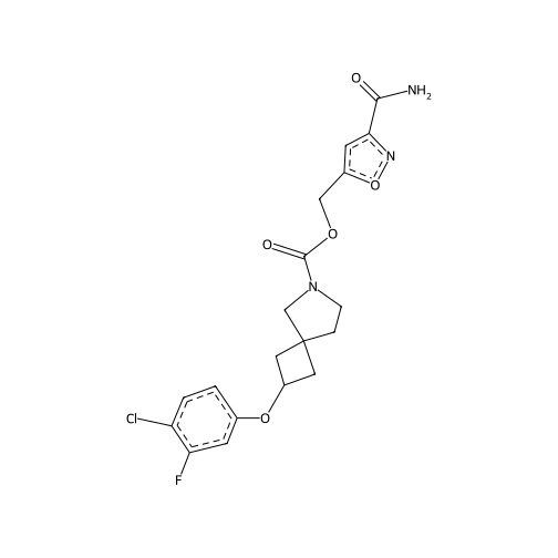 NC(=O)c1cc(COC(=O)N2CCC3(CC(Oc4ccc(Cl)c(F)c4)C3)C2)on1